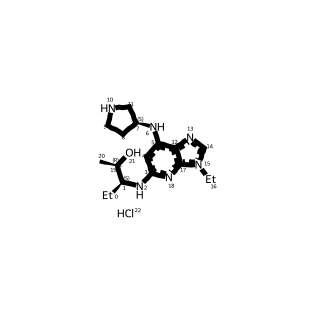 CC[C@H](Nc1cc(N[C@H]2CCNC2)c2ncn(CC)c2n1)[C@@H](C)O.Cl